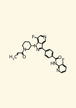 C=CC(=O)N1CCC[C@@H](n2nc(-c3ccc(C(=O)Nc4ncccc4F)cc3)c3cncc(F)c32)C1